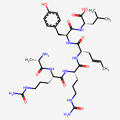 C/C=C/C[C@H](NC(=O)[C@H](CCCNC(N)=O)NC(=O)[C@H](CCCNC(N)=O)NC(=O)[C@H](C)N)C(=O)N[C@@H](Cc1ccc(O)cc1)C(=O)N[C@@H](CC(C)C)C(=O)O